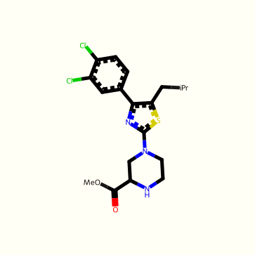 COC(=O)C1CN(c2nc(-c3ccc(Cl)c(Cl)c3)c(CC(C)C)s2)CCN1